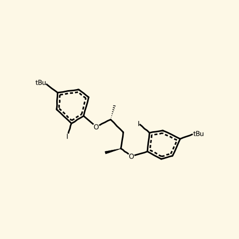 C[C@H](C[C@H](C)Oc1ccc(C(C)(C)C)cc1I)Oc1ccc(C(C)(C)C)cc1I